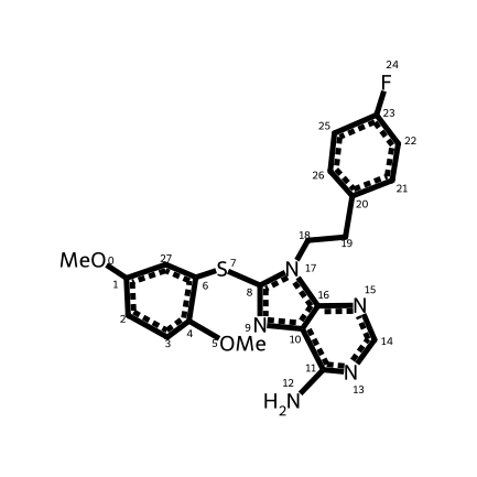 COc1ccc(OC)c(Sc2nc3c(N)ncnc3n2CCc2ccc(F)cc2)c1